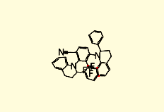 N#Cc1ccc(N2c3ccccc3CCC2c2ccccc2)c(C(F)(F)F)c1N1c2ccccc2CCC1c1ccccc1